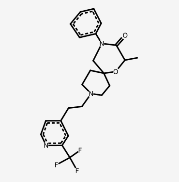 CC1OC2(CCN(CCc3ccnc(C(F)(F)F)c3)CC2)CN(c2ccccc2)C1=O